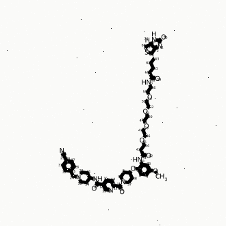 COc1ccc(OC2CCN(C(=O)c3ccc(C(=O)NC4CCN(Cc5ccc(C#N)cc5)CC4)cn3)CC2)c(NC(=O)CCOCCOCCOCCOCCNC(=O)CCCC[C@@H]2SC[C@@H]3NC(=O)N=C32)c1